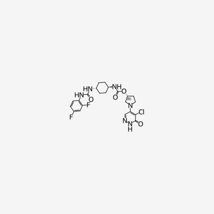 O=C(Nc1ccc(F)cc1F)N[C@H]1CC[C@H](NC(=O)O[C@@H]2CCN(c3cn[nH]c(=O)c3Cl)C2)CC1